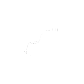 N/C=C/ON